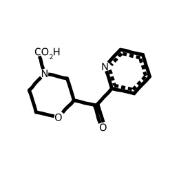 O=C(c1ccccn1)C1CN(C(=O)O)CCO1